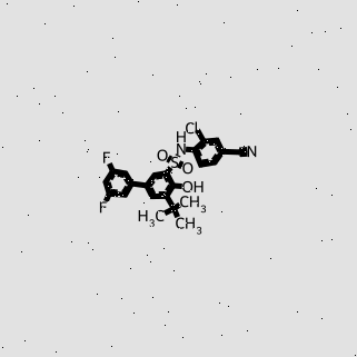 CC(C)(C)c1cc(-c2cc(F)cc(F)c2)cc(S(=O)(=O)Nc2ccc(C#N)cc2Cl)c1O